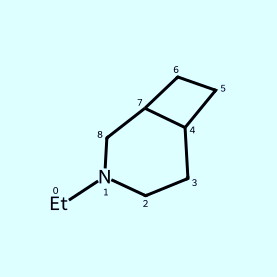 CCN1CCC2CCC2C1